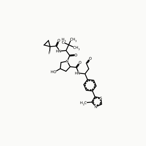 Cc1ncsc1-c1ccc(C(CC=O)NC(=O)C2CC(O)CN2C(=O)C(NC(=O)C2(F)CC2)C(C)(C)C)cc1